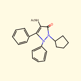 CC(=O)Nc1c(-c2ccccc2)n(-c2ccccc2)n(C2CCCC2)c1=O